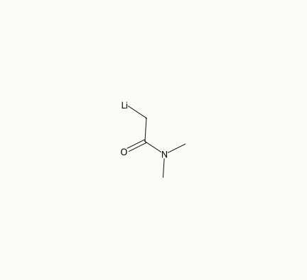 [Li][CH2]C(=O)N(C)C